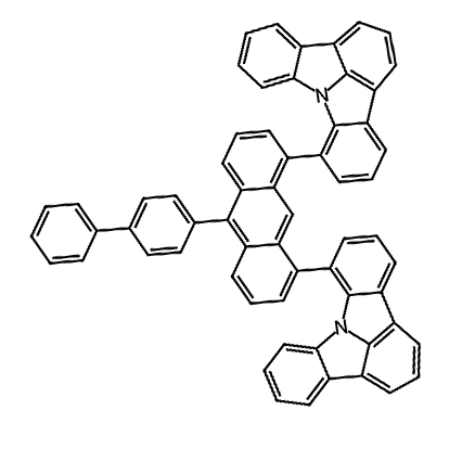 c1ccc(-c2ccc(-c3c4cccc(-c5cccc6c7cccc8c9ccccc9n(c56)c87)c4cc4c(-c5cccc6c7cccc8c9ccccc9n(c56)c87)cccc34)cc2)cc1